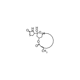 C/C1=C/C(=O)OC2C[C@@H](CCCCCCCCC1)OC(O)(C1CSC(=O)N1)C2